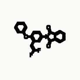 O=C1c2ccccc2C(=O)N1c1ccc(Oc2ccccc2)c(C=C(F)F)c1